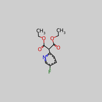 CCOC(=O)C(C(=O)OCC)c1ccc(F)cn1